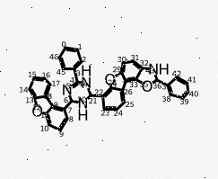 c1ccc(C2=NC(c3cccc4oc5ccccc5c34)NC(c3cccc4c3oc3ccc5c(c34)OC(c3ccccc3)N5)N2)cc1